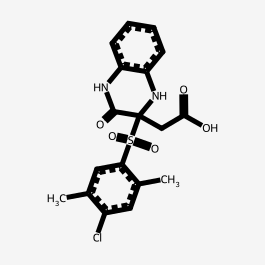 Cc1cc(S(=O)(=O)C2(CC(=O)O)Nc3ccccc3NC2=O)c(C)cc1Cl